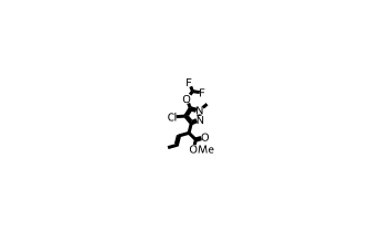 CC=CC(C(=O)OC)c1nn(C)c(OC(F)F)c1Cl